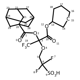 O=C(OC(OCC(F)(F)S(=O)(=O)O)(C(=O)OC1CCCCC1)C(F)(F)F)C12CC3CC(CC(C3)C1)C2